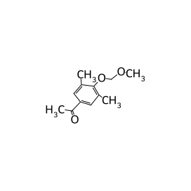 COCOc1c(C)cc(C(C)=O)cc1C